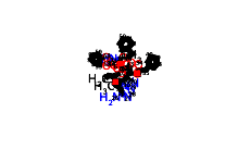 CCC(CC)COC(=O)[C@H](C)N[P@](=O)(OC[C@H]1O[C@@](C#N)(c2ccc3c(N)ncnn23)[C@H](OC(=O)Cc2ccccc2)[C@@H]1OC(=O)Cc1ccccc1)Oc1ccccc1